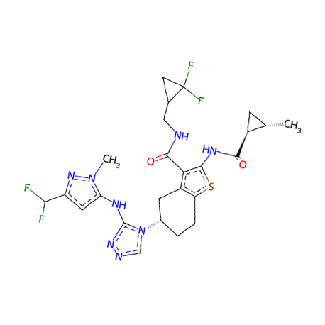 C[C@H]1C[C@@H]1C(=O)Nc1sc2c(c1C(=O)NCC1CC1(F)F)C[C@@H](n1cnnc1Nc1cc(C(F)F)nn1C)CC2